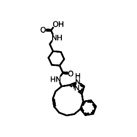 O=C(O)NCC1CCC(C(=O)NC2CC=CCCCc3ccccc3-c3c[nH]c2n3)CC1